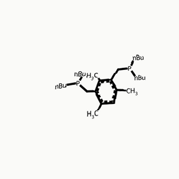 CCCCP(CCCC)Cc1c(C)cc(C)c(CP(CCCC)CCCC)c1C